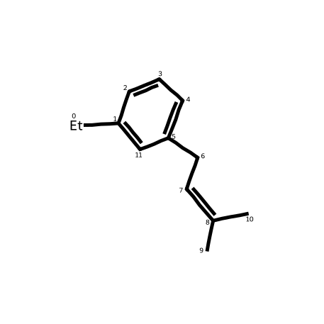 CCc1cccc(CC=C(C)C)c1